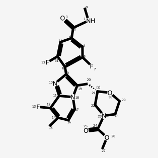 CNC(=O)c1cc(F)c(-c2nc3c(F)c(C)ccn3c2C[C@H]2CN(C(=O)OC)CCO2)c(F)c1